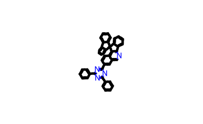 c1ccc(-c2nc(-c3ccccc3)nc(-c3ccc4c5c(ncc4c3)-c3ccccc3C53c4ccccc4-c4ccccc43)n2)cc1